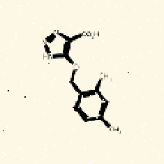 Cc1ccc(COc2[nH]nnc2C(=O)O)c(C)c1